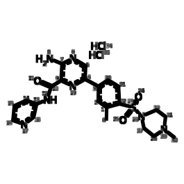 Cc1cc(-c2cnc(N)c(C(=O)Nc3cccnc3)n2)ccc1S(=O)(=O)N1CCN(C)CC1.Cl.Cl